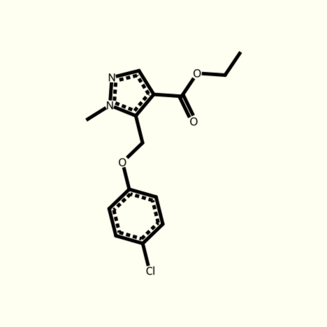 CCOC(=O)c1cnn(C)c1COc1ccc(Cl)cc1